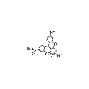 CN(C)c1ccc2c(-c3ccc(C(=O)C(C)(C)C)cc3C(=O)O)c3ccc(=[N+](C)C)cc-3oc2c1